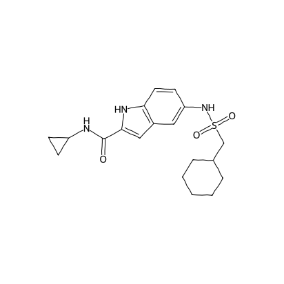 O=C(NC1CC1)c1cc2cc(NS(=O)(=O)CC3CCCCC3)ccc2[nH]1